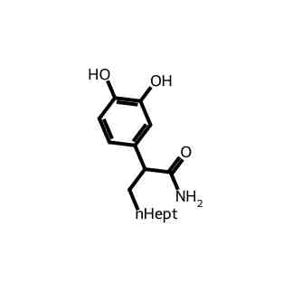 CCCCCCCCC(C(N)=O)c1ccc(O)c(O)c1